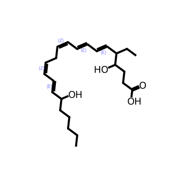 CCCCCC(O)/C=C/C=C\C\C=C/C=C/C=C/C(CC)C(O)CCC(=O)O